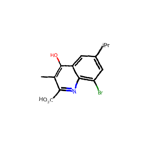 Cc1c(C(=O)O)nc2c(Br)cc(C(C)C)cc2c1O